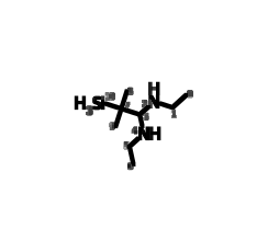 CCNC(NCC)C(C)(C)[SiH3]